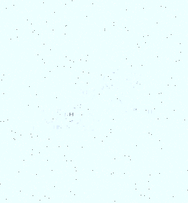 COc1ccc(-c2ocnc2-c2cc(OC)c(OC)c(OC)c2)cc1O/C=C/C(O)N(C)c1cccc(F)c1C1=NNC(C(C)=O)=NN1